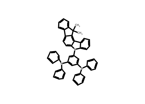 CC1(C)c2ccccc2-c2ccc3c(c21)c1ccccc1n3-c1cc(N(c2ccccc2)c2ccccc2)cc(N(c2ccccc2)c2ccccc2)c1